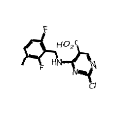 Cc1ccc(F)c(CNc2nc(Cl)ncc2C(=O)O)c1F